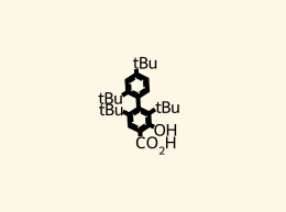 CC(C)(C)c1ccc(-c2c(C(C)(C)C)cc(C(=O)O)c(O)c2C(C)(C)C)c(C(C)(C)C)c1